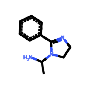 CC(N)N1CCN=C1c1ccccc1